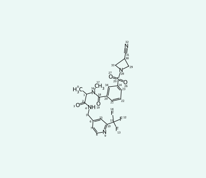 CC(C(=O)NCc1ccnc(C(F)(F)F)c1)N(C)C(=O)c1cccc(S(=O)(=O)N2CC(C#N)C2)c1